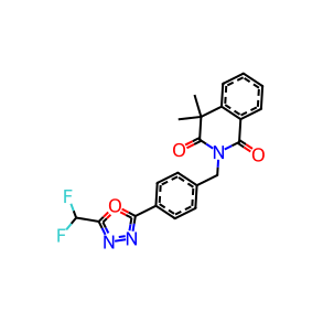 CC1(C)C(=O)N(Cc2ccc(-c3nnc(C(F)F)o3)cc2)C(=O)c2ccccc21